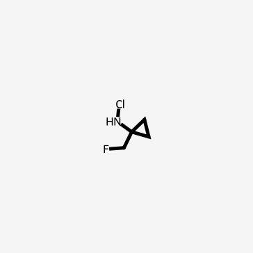 FCC1(NCl)CC1